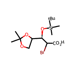 CC1(C)OCC([C@@H](O[Si](C)(C)C(C)(C)C)C(Br)C(=O)O)O1